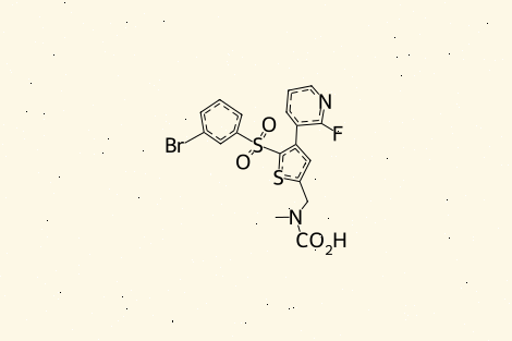 CN(Cc1cc(-c2cccnc2F)c(S(=O)(=O)c2cccc(Br)c2)s1)C(=O)O